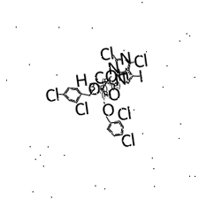 C[C@@]1(O)[C@H](OCc2ccc(Cl)cc2Cl)[C@@H](COCc2ccc(Cl)cc2Cl)O[C@H]1n1cc(I)c2c(Cl)nc(Cl)nc21